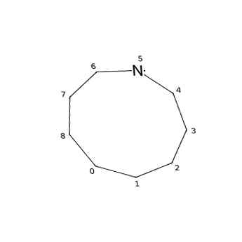 C1CCCC[N]CCC1